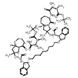 C[C@@H](C(=O)N[C@H]1CCS[C@H]2CC(C)(C)[C@@H](C(=O)N[C@H]3c4ccccc4C[C@H]3OCCCCCCCCO[C@@H]3Cc4ccccc4[C@@H]3NC(=O)[C@H]3N4C(=O)[C@@H](NC(=O)[C@H](C)N(C)C(=O)OC(C)(C)C)CCS[C@H]4CC3(C)C)N2C1=O)N(C)C(=O)OC(C)(C)C